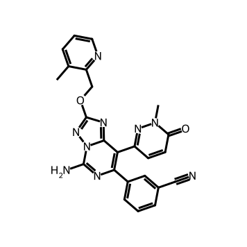 Cc1cccnc1COc1nc2c(-c3ccc(=O)n(C)n3)c(-c3cccc(C#N)c3)nc(N)n2n1